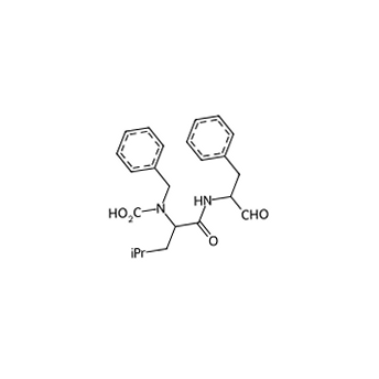 CC(C)CC(C(=O)NC(C=O)Cc1ccccc1)N(Cc1ccccc1)C(=O)O